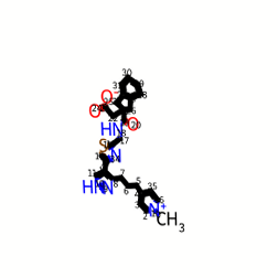 C[n+]1ccc(CCCc2n[nH]cc2-c2csc(CNC(=O)C3(CC(=O)[O-])Cc4ccccc4C3)n2)cc1